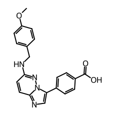 COc1ccc(CNc2ccc3ncc(-c4ccc(C(=O)O)cc4)n3n2)cc1